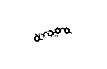 Cc1cccc(C)c1NC(=O)CN1CCC(O)(c2ccc(Cc3ccc(F)cc3)cc2)CC1